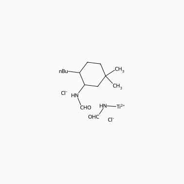 CCCCC1CCC(C)(C)CC1NC=O.O=C[NH][Ti+2].[Cl-].[Cl-]